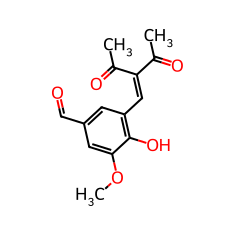 COc1cc(C=O)cc(C=C(C(C)=O)C(C)=O)c1O